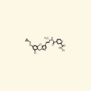 CCNC(=O)c1cc(C(=O)N[C@@H](C)/C=C/c2cnn(Cc3c(Cl)cc(OCC4CC4)cc3Cl)c2)ccn1